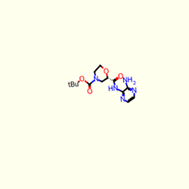 CC(C)(C)OC(=O)N1CCO[C@H](C(=O)Nc2nccnc2N)C1